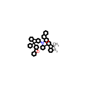 CC1(C)c2ccccc2-c2c(-c3ccccc3N(c3ccc4c(c3)C(c3ccccc3)(c3ccc5oc6ccccc6c5c3)c3ccccc3-4)c3cccc4c3ccc3ccccc34)cccc21